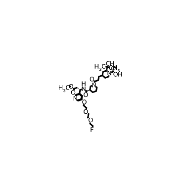 COC(=O)C[C@H](NC(=O)[C@@H]1CCCN(C(=O)CCC2CCN(C(=O)O)C(C(C)(C)C)C2)C1)c1cncc(OCCOCCOCCF)c1